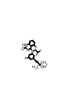 CC(C)(O)C#Cc1cc(F)cc(N(CC(F)F)c2nc(=O)[nH]c3cccc(F)c23)c1